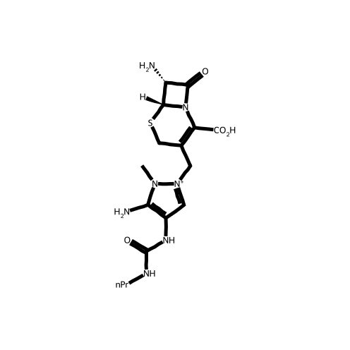 CCCNC(=O)Nc1c[n+](CC2=C(C(=O)O)N3C(=O)[C@@H](N)[C@H]3SC2)n(C)c1N